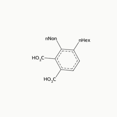 CCCCCCCCCc1c(CCCCCC)ccc(C(=O)O)c1C(=O)O